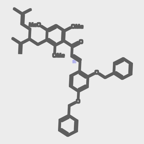 C=C(C)C(CC=C(C)C)Cc1c(OC)cc(OC)c(C(=O)/C=C/c2ccc(OCc3ccccc3)cc2OCc2ccccc2)c1OC